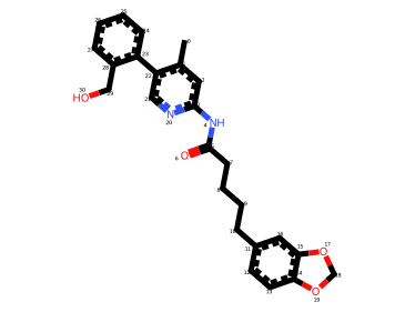 Cc1cc(NC(=O)CCCCc2ccc3c(c2)OCO3)ncc1-c1ccccc1CO